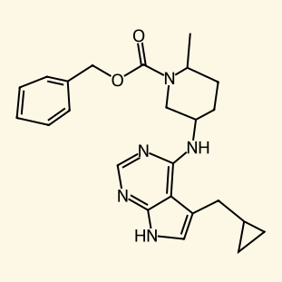 CC1CCC(Nc2ncnc3[nH]cc(CC4CC4)c23)CN1C(=O)OCc1ccccc1